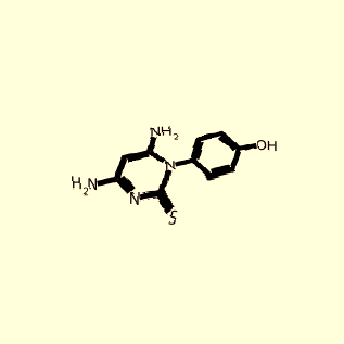 Nc1cc(N)n(-c2ccc(O)cc2)c(=S)n1